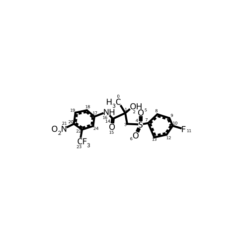 CC(O)(CS(=O)(=O)c1ccc(F)cc1)C(=O)Nc1ccc([N+](=O)[O-])c(C(F)(F)F)c1